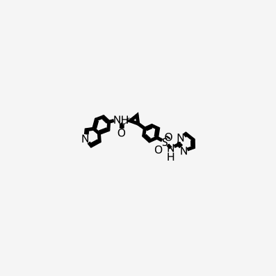 O=C(Nc1ccc2cnccc2c1)[C@@H]1CC1c1ccc(S(=O)(=O)Nc2ncccn2)cc1